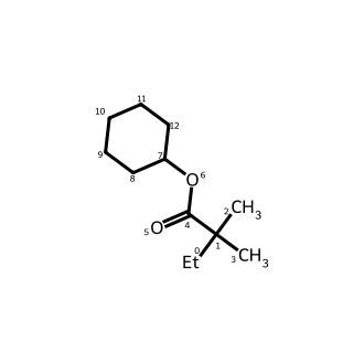 CCC(C)(C)C(=O)OC1CCCCC1